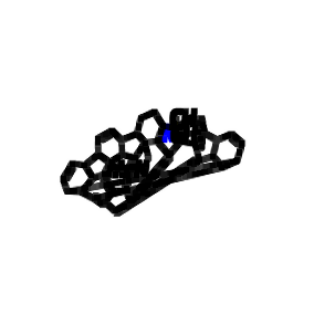 CNCC12C3=C4C5=C6C7C8C=CC9C%10C=CC%11c%12ccc%13c%14c(c4c4c(c%12%14)C%11C%10C(=C54)C97)C1(N(C)C)C%13CCC2C1C=CC8C6C31